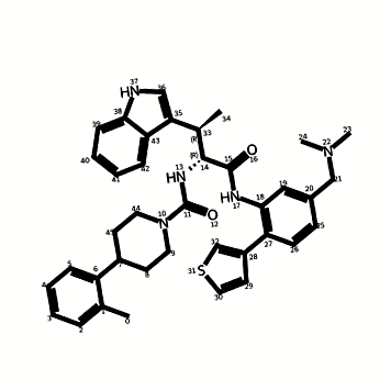 Cc1ccccc1C1CCN(C(=O)N[C@@H](C(=O)Nc2cc(CN(C)C)ccc2-c2ccsc2)[C@H](C)c2c[nH]c3ccccc23)CC1